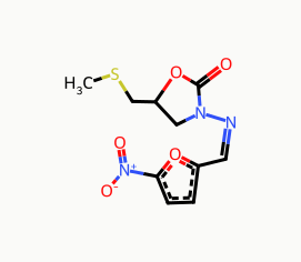 CSCC1CN(/N=C\c2ccc([N+](=O)[O-])o2)C(=O)O1